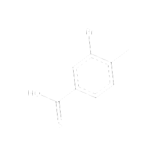 Cc1ccc(C(O)=S)cc1Br